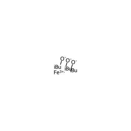 CCC(C)[O-].CCC(C)[O-].CCC(C)[O-].[Fe+3]